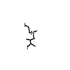 CC(I)C(C)CN(C)CCI